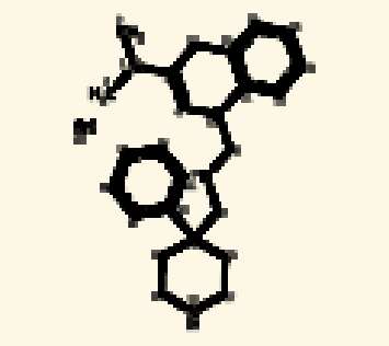 CN(C)C1=CN(COCC2(c3ccccc3)CCNCC2)c2ccccc2C1.[Sn]